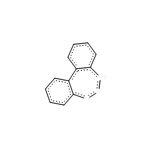 c1ccc2c(c1)oo[pH]c1ccccc12